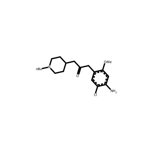 CCCCN1CCC(CC(=O)Cc2cc(Cl)c(N)cc2OC)CC1